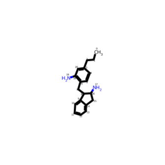 CCCc1ccc(CC2c3ccccc3CC2N)c(N)c1